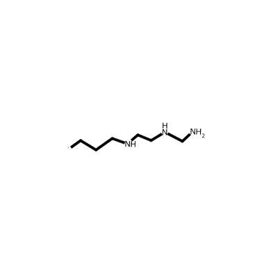 [CH2]CCCNCCNCN